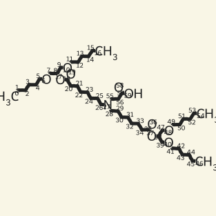 CCCCCCOCC(COCCCCCC)OC(=O)CCCCCCCN(CCCCCCCC(=O)OC(COCCCCCC)COCCCCCC)CCC(=O)O